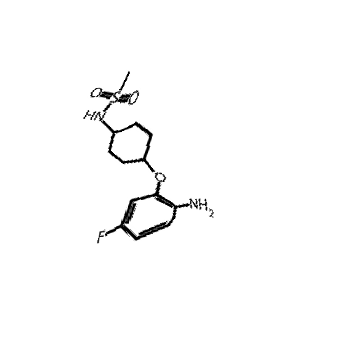 CS(=O)(=O)NC1CCC(Oc2cc(F)ccc2N)CC1